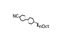 CCCCCCCC/C=C/[C@H]1CC[C@H]([C@H]2CC[C@H](C#N)CC2)CC1